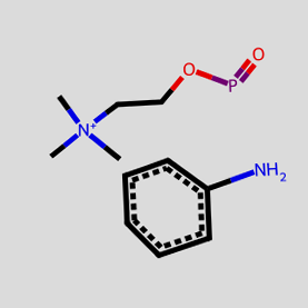 C[N+](C)(C)CCOP=O.Nc1ccccc1